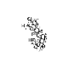 COc1cc2nccc(Oc3c(F)cc(-c4nccc(OC)c4C(N)=O)cc3F)c2cc1OC1(CO)CC1